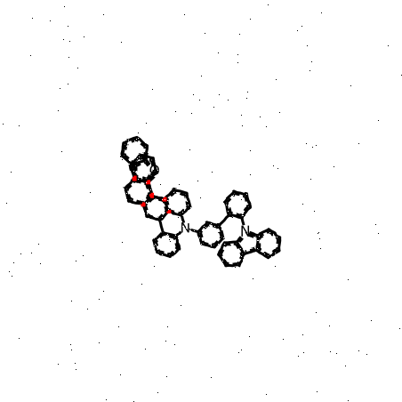 c1ccc(-c2ccc(-c3ccccc3N(c3cccc(-c4ccccc4-n4c5ccccc5c5ccccc54)c3)c3cccc(-c4cccc5c4oc4ccccc45)c3)cc2)cc1